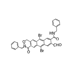 O=Cc1cc2c(Br)c3cc4c(cc3c(Br)c2cc1C(=O)NCc1ccccc1)CON(Cc1ccccc1)C4=O